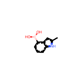 Cc1cc2c(B(O)O)cccc2[nH]1